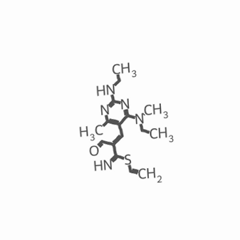 C=CSC(=N)/C(C=O)=C/c1c(C)nc(NCC)nc1N(C)CC